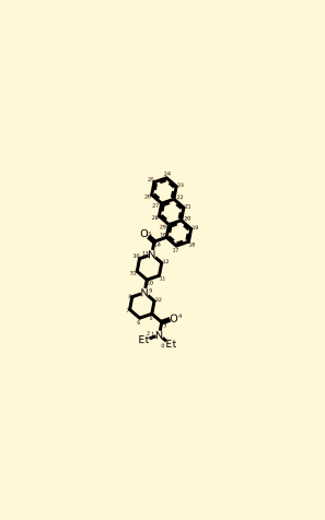 CCN(CC)C(=O)C1CCCN(C2CCN(C(=O)c3cccc4cc5ccccc5cc34)CC2)C1